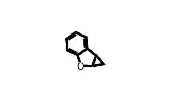 c1ccc2c(c1)OC1CC21